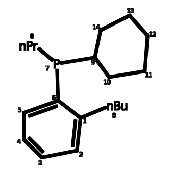 CCCCc1ccccc1P(CCC)C1CCCCC1